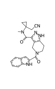 CN(C(=O)c1n[nH]c2c1CN(C(=O)c1cc3ccccc3[nH]1)CC2)C1(CC#N)CC1